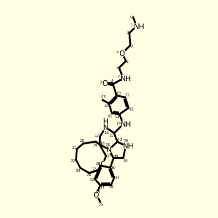 CNCCOCCNC(=O)c1ccc(NC2NCC3(CCCCCCCCC3)N3C(c4ccc(OC)cc4)CNC23)cc1C